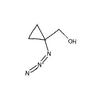 [N-]=[N+]=NC1(CO)CC1